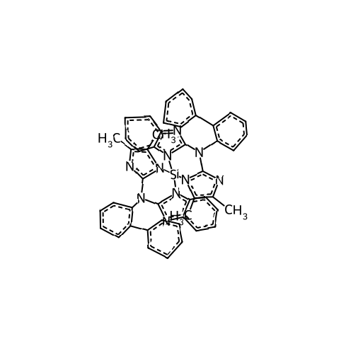 Cc1nc2n(c1C)[Si]1(n3c(nc(C)c3C)N(c3ccccc3-c3ccccc3)c3nc4ccccc4n31)n1c(nc3ccccc31)N2c1ccccc1-c1ccccc1